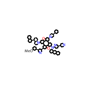 COc1cccc(-c2cncc(-c3cc4oc5c(N(c6ccc(-c7ccncc7)cn6)c6cccc7cc8ccccc8cc67)ccc6c7cc(N8C=CC(c9ccccc9)=CC8)cc8oc9cc(N%10C=CC=C%11C(c%12cccc%13ccccc%12%13)=CC=CC%11%10)cc(c(c3)c4c56)c9c87)c2)c1